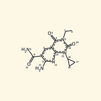 CCn1c(=O)c2cc(C(N)=O)c(N)nc2n(C2CC2)c1=O